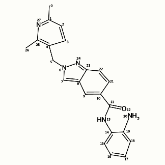 Cc1ccc(Cn2cc3cc(C(=O)Nc4ccccc4N)ccc3n2)c(C)n1